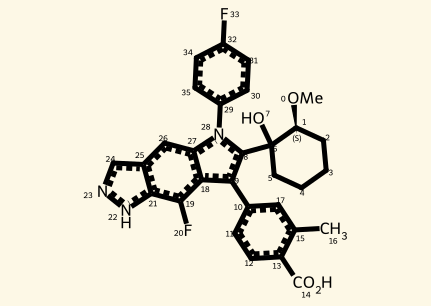 CO[C@H]1CCCCC1(O)c1c(-c2ccc(C(=O)O)c(C)c2)c2c(F)c3[nH]ncc3cc2n1-c1ccc(F)cc1